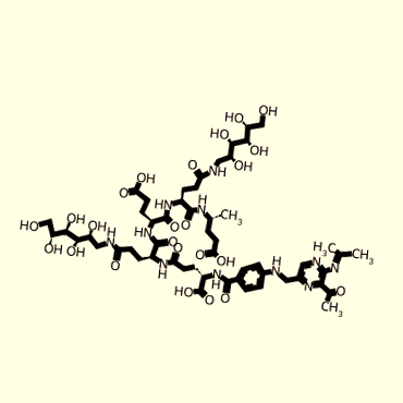 CC(=O)c1nc(CNc2ccc(C(=O)N[C@@H](CCC(=O)N[C@@H](CCC(=O)NC[C@H](O)[C@@H](O)[C@H](O)[C@H](O)CO)C(=O)N[C@@H](CCC(=O)O)C(=O)N[C@@H](CCC(=O)NC[C@H](O)[C@@H](O)[C@H](O)[C@H](O)CO)C(=O)N[C@H](C)CCC(=O)O)C(=O)O)cc2)cnc1N=C(C)C